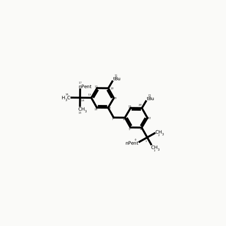 CCCCCC(C)(C)c1cc(Cc2[c]c(C(C)(C)C)cc(C(C)(C)CCCCC)c2)[c]c(C(C)(C)C)c1